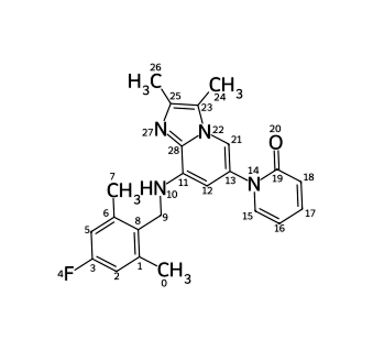 Cc1cc(F)cc(C)c1CNc1cc(-n2ccccc2=O)cn2c(C)c(C)nc12